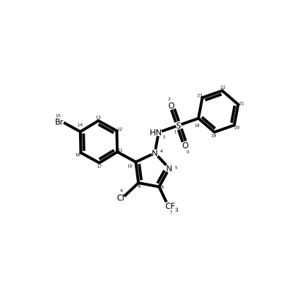 O=S(=O)(Nn1nc(C(F)(F)F)c(Cl)c1-c1ccc(Br)cc1)c1ccccc1